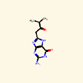 CC(C)C(=O)Cc1nc2nc(N)[nH]c(=O)c2[nH]1